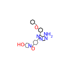 Nc1nccn2c(C3CCC(C(=O)N4CCC(O)CC4)CC3)nc(-c3cccc(OCc4ccccc4)c3)c12